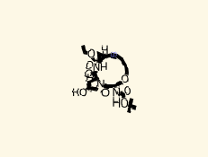 CCOC(=O)[C@@]12C[C@H]1/C=C\CCCOC[C@H](NC(=O)OC(C)(C)C)C(=O)N1C[C@H](O)C[C@H]1C(=O)N2